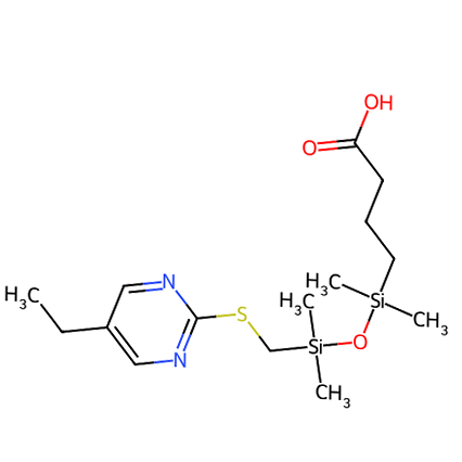 CCc1cnc(SC[Si](C)(C)O[Si](C)(C)CCCC(=O)O)nc1